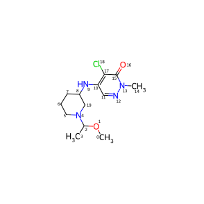 COC(C)N1CCCC(Nc2cnn(C)c(=O)c2Cl)C1